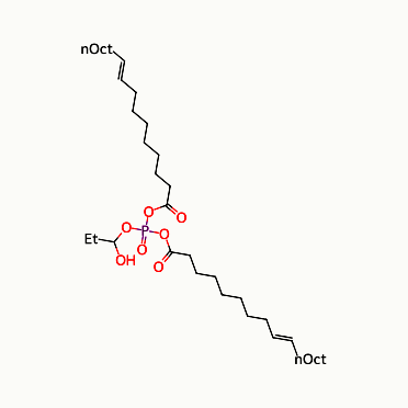 CCCCCCCCC=CCCCCCCCC(=O)OP(=O)(OC(=O)CCCCCCCC=CCCCCCCCC)OC(O)CC